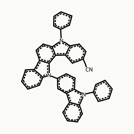 N#Cc1ccc2c(c1)c1c(ccc3c4ccccc4n(-c4ccc5c(c4)c4ccccc4n5-c4ccccc4)c31)n2-c1ccccc1